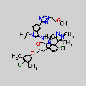 COCCn1cnc(-c2ccc3c(c2)c(N2CC(C)n4c(c(CCCOc5cc(C)c(Cl)c(C)c5)c5ccc(Cl)c(-c6c(C)nn(C)c6C)c54)C2=O)cn3C)n1